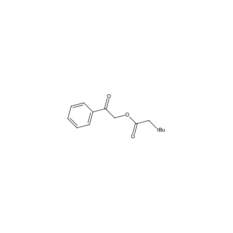 CC(C)(C)CC(=O)OCC(=O)c1ccccc1